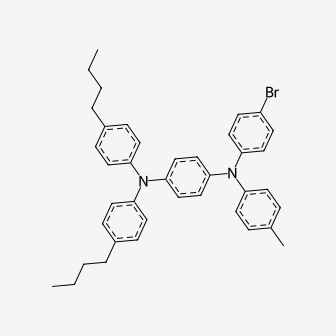 CCCCc1ccc(N(c2ccc(CCCC)cc2)c2ccc(N(c3ccc(C)cc3)c3ccc(Br)cc3)cc2)cc1